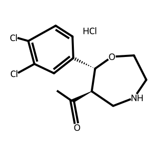 CC(=O)[C@@H]1CNCCO[C@H]1c1ccc(Cl)c(Cl)c1.Cl